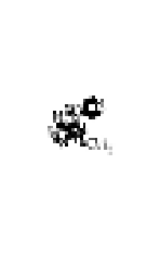 CCn1nc([S+]([O-])c2ccncc2)c2c(N)ncnc21